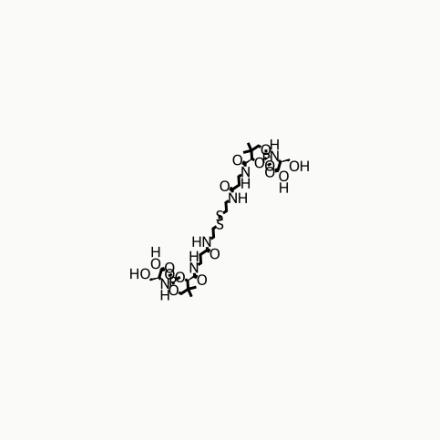 CC1(C)COP(=O)(N[C@@H](CO)C(=O)O)O[C@H]1C(=O)NCCC(=O)NCCSSCCNC(=O)CCNC(=O)[C@@H]1OP(=O)(N[C@@H](CO)C(=O)O)OCC1(C)C